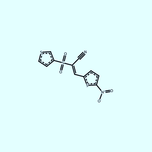 N#C/C(=C\c1ccc([N+](=O)[O-])s1)S(=O)(=O)c1ccsc1